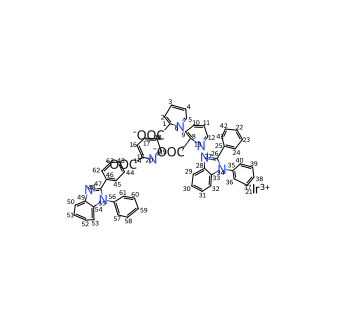 O=C([O-])c1ccccn1.O=C([O-])c1ccccn1.O=C([O-])c1ccccn1.[Ir+3].c1ccc(-c2nc3ccccc3n2-c2ccccc2)cc1.c1ccc(-c2nc3ccccc3n2-c2ccccc2)cc1